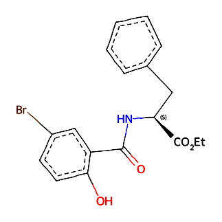 CCOC(=O)[C@H](Cc1ccccc1)NC(=O)c1cc(Br)ccc1O